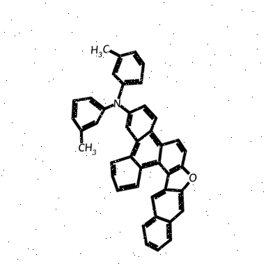 Cc1cccc(N(c2cccc(C)c2)c2ccc3c(c2)c2ccccc2c2c3ccc3oc4cc5ccccc5cc4c32)c1